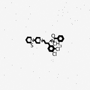 CN(C[C@@H](CCN1CCC(N2CCCCC2=S)CC1)c1ccc(Cl)c(Cl)c1)C(=O)c1ccccc1